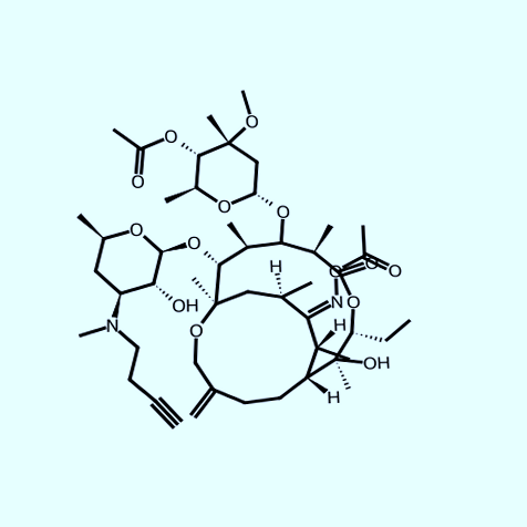 C#CCCN(C)[C@H]1C[C@@H](C)O[C@@H](O[C@@H]2[C@@H](C)C(O[C@H]3C[C@@](C)(OC)[C@@H](OC(C)=O)[C@H](C)O3)[C@@H](C)C(=O)O[C@H](CC)[C@@](C)(O)[C@@H]3CCC(=C)CO[C@]2(C)C[C@@H](C)/C(=N\OC(C)=O)[C@@H]3C)[C@@H]1O